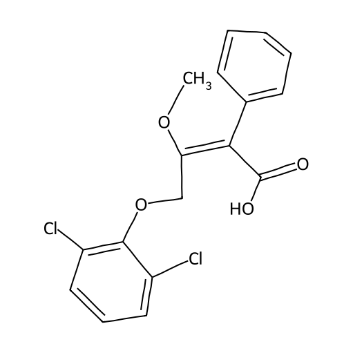 COC(COc1c(Cl)cccc1Cl)=C(C(=O)O)c1ccccc1